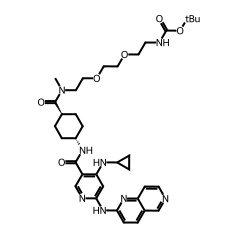 CN(CCOCCOCCNC(=O)OC(C)(C)C)C(=O)[C@H]1CC[C@H](NC(=O)c2cnc(Nc3ccc4cnccc4n3)cc2NC2CC2)CC1